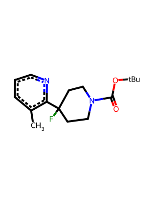 Cc1cccnc1C1(F)CCN(C(=O)OC(C)(C)C)CC1